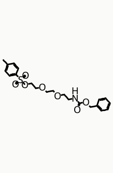 Cc1ccc(S(=O)(=O)OCCOCCOCCNC(=O)OCc2ccccc2)cc1